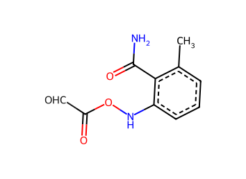 Cc1cccc(NOC(=O)C=O)c1C(N)=O